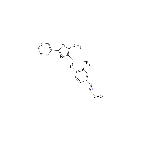 Cc1oc(-c2ccccc2)nc1COc1ccc(/C=C/C=O)cc1C(F)(F)F